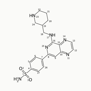 NS(=O)(=O)c1ccc(-c2cc3nccnc3c(NCC3CCCNC3)n2)cc1